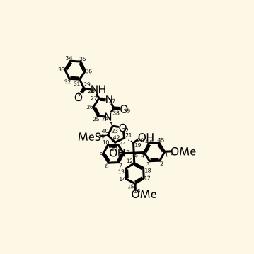 COc1ccc(C(c2ccccc2)(c2ccc(OC)cc2)C(O)[C@H]2O[C@@H](n3ccc(NC(=O)c4ccccc4)nc3=O)[C@H](SC)[C@@H]2O)cc1